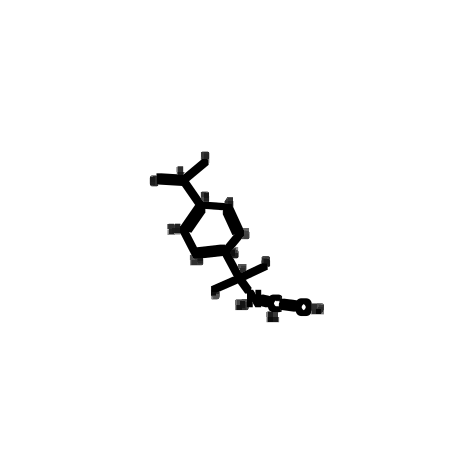 C=C(C)c1ccc(C(C)(C)N=C=O)cc1